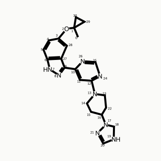 CC1(Oc2ccc3[nH]nc(-c4cc(N5CCC(N6CNC=N6)CC5)ncn4)c3c2)CC1